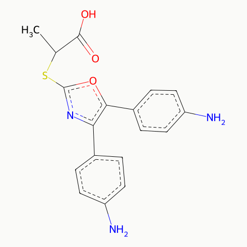 CC(Sc1nc(-c2ccc(N)cc2)c(-c2ccc(N)cc2)o1)C(=O)O